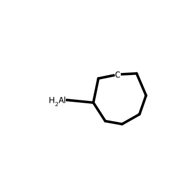 [AlH2][CH]1CCCCCCC1